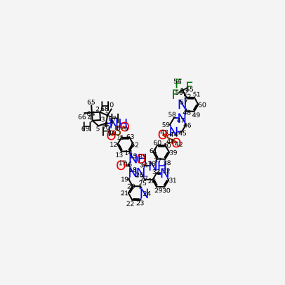 C[C@H]1[C@H]2C[C@H](C[C@H]1NS(=O)(=O)c1ccc(NC(=O)N(Cc3cccnc3)N(Cc3cccnc3)C(=O)Nc3ccc(S(=O)(=O)N4CCN(c5cccc(C(F)(F)F)n5)CC4)cc3)cc1)C2(C)C